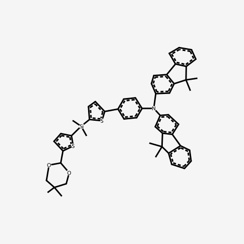 CC1(C)COC(c2ccc([Si](C)(C)c3ccc(-c4ccc(N(c5ccc6c(c5)C(C)(C)c5ccccc5-6)c5ccc6c(c5)C(C)(C)c5ccccc5-6)cc4)s3)s2)OC1